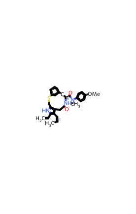 C=Cc1[nH]c2c(c1/C=C\C)CC(=O)N[C@H](C(=O)N(C)c1ccc(OC)cc1)Cc1cccc(c1)SC2